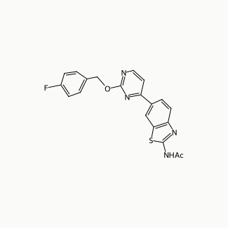 CC(=O)Nc1nc2ccc(-c3ccnc(OCc4ccc(F)cc4)n3)cc2s1